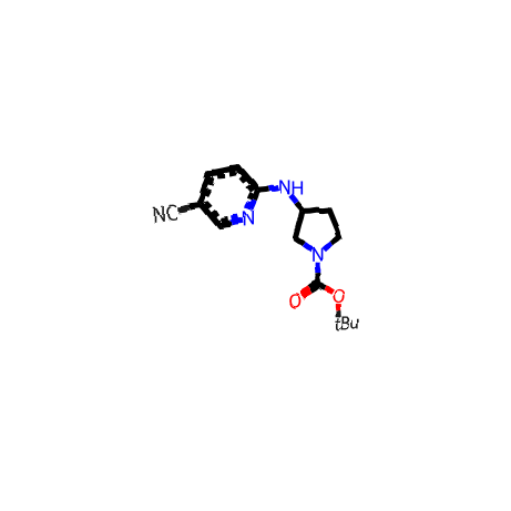 CC(C)(C)OC(=O)N1CCC(Nc2ccc(C#N)cn2)C1